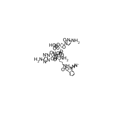 [N-]=[N+]=Nc1ccccc1COC(=O)NCCCC(N)C(=O)O[C@H]1[C@@H](O)[C@H](n2cnc3c(N)ncnc32)O[C@@H]1COP(=O)(O)O[C@H]1C[C@H](n2ccc(N)nc2=O)O[C@@H]1COP(=O)(O)O